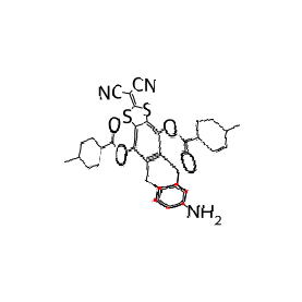 CC1CCC(C(=O)Oc2c3c(c(OC(=O)C4CCC(C)CC4)c4c2C2c5ccccc5C4c4cc(N)ccc42)SC(=C(C#N)C#N)S3)CC1